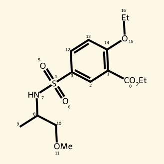 CCOC(=O)c1cc(S(=O)(=O)NC(C)COC)ccc1OCC